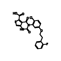 O=C(O)c1scc2[nH]c(=O)n(-c3cc(OCCc4ccccc4F)ccc3Cl)c(=O)c12